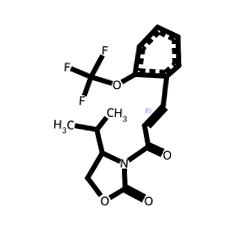 CC(C)C1COC(=O)N1C(=O)/C=C/c1ccccc1OC(F)(F)F